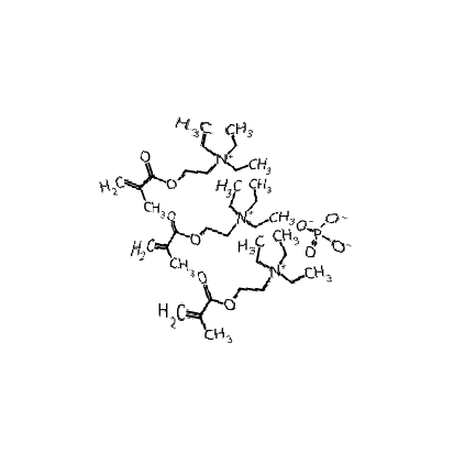 C=C(C)C(=O)OCC[N+](CC)(CC)CC.C=C(C)C(=O)OCC[N+](CC)(CC)CC.C=C(C)C(=O)OCC[N+](CC)(CC)CC.O=P([O-])([O-])[O-]